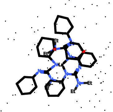 CCN(CC)C(=NC1CCCCC1)[N](C1CCCCC1)[La]([N](C(=NC1CCCCC1)N(CC)CC)C1CCCCC1)[N](C(=NC1CCCCC1)N(CC)CC)C1CCCCC1